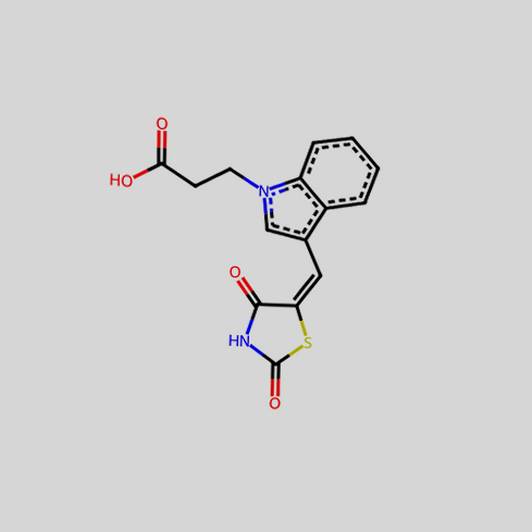 O=C(O)CCn1cc(C=C2SC(=O)NC2=O)c2ccccc21